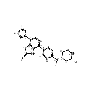 C[C@@H]1C[C@H](N(C)c2ccc(-c3ccc(-c4cn[nH]c4)c4c3NC(=O)C4)nn2)CCN1